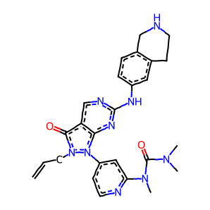 C=CCn1c(=O)c2cnc(Nc3ccc4c(c3)CCNC4)nc2n1-c1ccnc(N(C)C(=O)N(C)C)c1